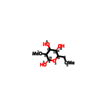 COCC1O[C@H](O)C(OC)C(O)[C@@H]1O